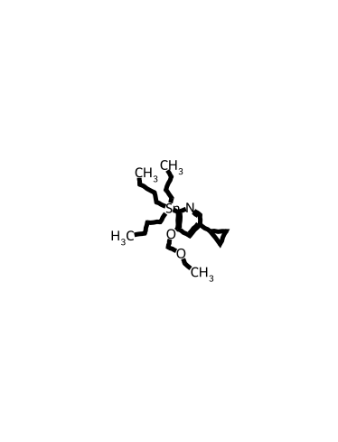 CCC[CH2][Sn]([CH2]CCC)([CH2]CCC)[c]1ncc(C2CC2)cc1OCOCC